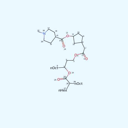 CCCCCCCCC(CCOC(=O)CC1CCC(OC(=O)C2CCN(C)CC2)C1)OC(=O)C(CCCCCC)CCCCCCCC